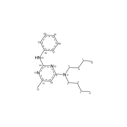 CCCCN(CCCC)c1cc(C)nc(Nc2ccccc2)n1